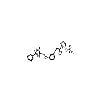 Cc1oc(-c2ccccc2)nc1COc1cccc(CC(=O)N2CCC[C@@H]2OC(=O)O)c1